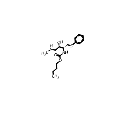 CCCCOC(=O)N[C@@H](CSc1ccccc1)[C@H](O)CNC